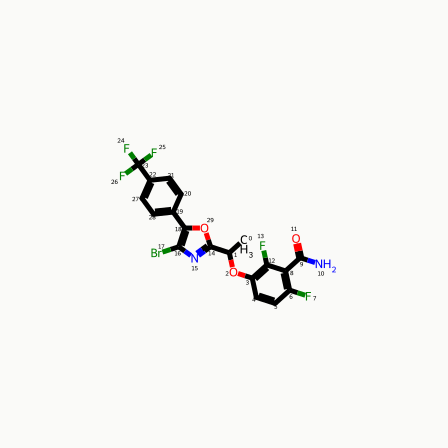 CC(Oc1ccc(F)c(C(N)=O)c1F)c1nc(Br)c(-c2ccc(C(F)(F)F)cc2)o1